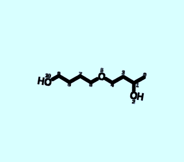 CC(O)CCOCCCCO